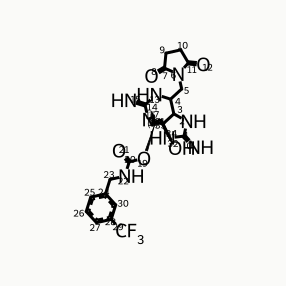 N=C1NC2C(CN3C(=O)CCC3=O)NC(=N)N3C[C@H](OC(=O)NCc4cccc(C(F)(F)F)c4)C(O)C23N1